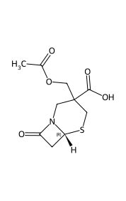 CC(=O)OCC1(C(=O)O)CS[C@@H]2CC(=O)N2C1